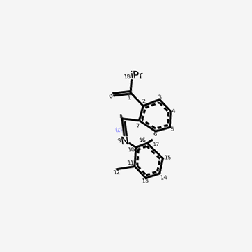 C=C(c1ccccc1/C=N\c1c(C)cccc1C)C(C)C